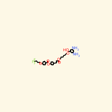 Nc1cc(N)cc(C(O)OCCCCCCOC(=O)/C=C/c2ccc(OC(=O)c3ccc(OCCCC(F)(F)F)cc3)cc2)c1